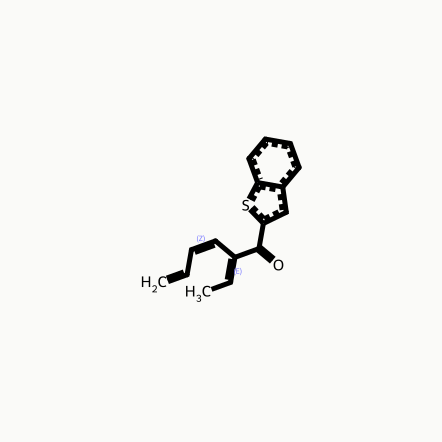 C=C/C=C\C(=C/C)C(=O)c1cc2ccccc2s1